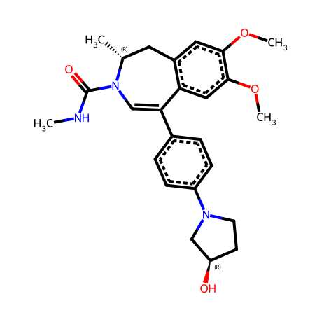 CNC(=O)N1C=C(c2ccc(N3CC[C@@H](O)C3)cc2)c2cc(OC)c(OC)cc2C[C@H]1C